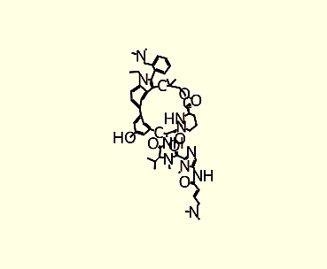 CCn1c(-c2ccccc2CN(C)C)c2c3cc(ccc31)-c1cc(O)cc(c1)C[C@H](NC(=O)[C@H](C(C)C)N(C)C(=O)c1ncc(NC(=O)/C=C/CN(C)C)n1C)C(=O)N1CCCC(C=O)(COCC(C)(C)C2)N1